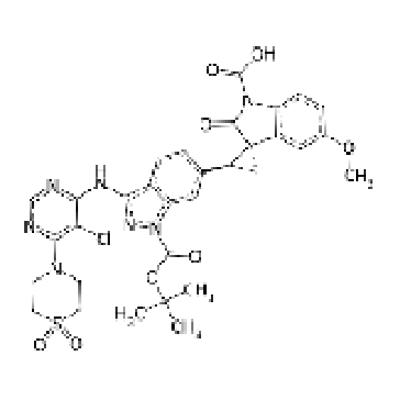 COc1ccc2c(c1)[C@]1(C[C@H]1c1ccc3c(Nc4ncnc(N5CCS(=O)(=O)CC5)c4Cl)nn(C(=O)OC(C)(C)C)c3c1)C(=O)N2C(=O)O